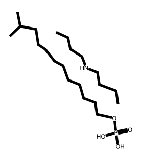 CC(C)CCCCCCCCCCOP(=O)(O)O.CCCCNCCCC